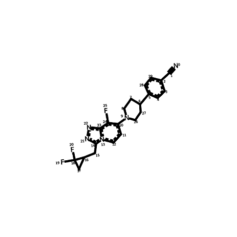 N#Cc1ccc(C2CCN(c3ccn4c(CC5CC5(F)F)nnc4c3F)CC2)cc1